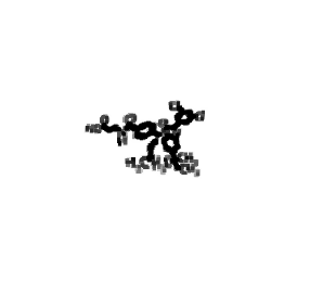 CCCC[C@H](c1ccc(C(=O)NCCC(=O)O)cc1)N1C(=O)C(c2cc(Cl)cc(Cl)c2)=NC12CCC(C(C)(C)CC)CC2